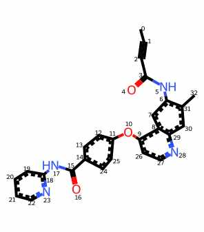 CC#CC(=O)Nc1cc2c(Oc3ccc(C(=O)Nc4ccccn4)cc3)ccnc2cc1C